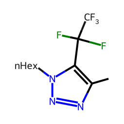 CCCCCCn1nnc(C)c1C(F)(F)C(F)(F)F